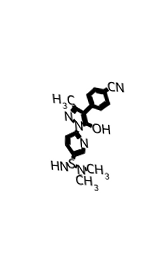 Cc1nn(-c2ccc(S(=N)N(C)C)cn2)c(O)c1-c1ccc(C#N)cc1